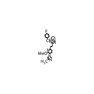 COc1nc(/C=C/c2nc3n(n2)CC[C@H]3c2cc(F)ccc2C(F)(F)F)ccc1-n1cnc(C)c1